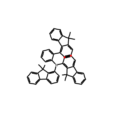 CC1(C)c2ccccc2-c2c(-c3ccccc3N(c3cccc4c3C(C)(C)c3ccccc3-4)c3cccc4c3C(C)(C)c3ccccc3-4)cccc21